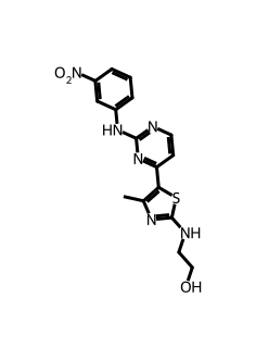 Cc1nc(NCCO)sc1-c1ccnc(Nc2cccc([N+](=O)[O-])c2)n1